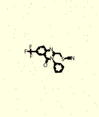 N#CSCc1nc2ccc(C(F)(F)F)cc2c(=O)n1-c1ccccc1